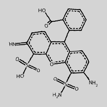 N=c1ccc2c(-c3ccccc3C(=O)O)c3ccc(N)c(S(N)(=O)=O)c3oc-2c1S(=O)(=O)O